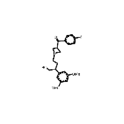 COc1cc(OC)cc([C@@H](CO)C[CH]N2CC(C(=O)c3ccc(F)cc3)C2)c1